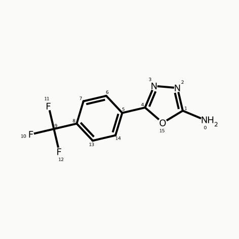 Nc1nnc(-c2ccc(C(F)(F)F)cc2)o1